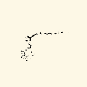 CCC(C)(C)SSCOCCCCOC(=O)NCC#Cc1cn([C@H]2C[C@H](OCS(C)=S)[C@@H](COP(=O)(O)OP(=O)(O)OP(=O)(O)O)O2)c(=O)[nH]c1=O